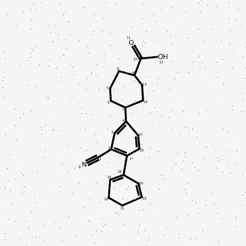 N#Cc1cc(C2CCCC(C(=O)O)CC2)ccc1C1=CCCC=C1